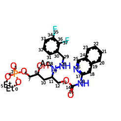 CCOP(=O)(OCC)OCC(O)CC(COC(=O)Nc1cc2ccccc2cn1)N(NCc1cccc(F)c1F)C(C)=O